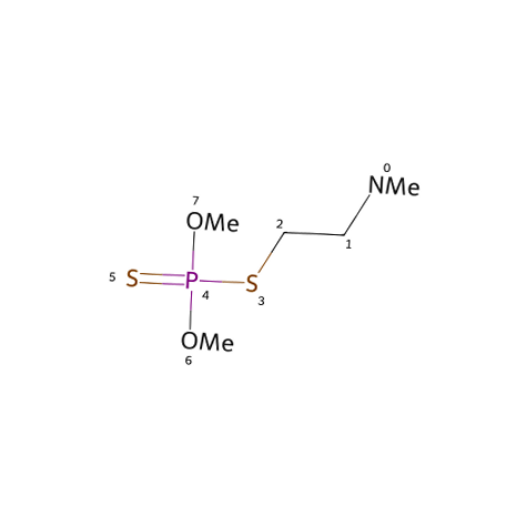 CNCCSP(=S)(OC)OC